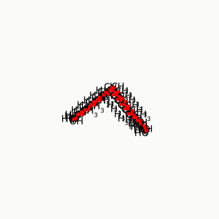 CN1CCN(C)C1Cl.CN1CCN(C)C1Cl.CN1CCN(C)C1Cl.CN1CCN(C)C1Cl.CN1CCN(C)C1Cl.CN1CCN(C)C1Cl.CN1CCN(C)C1Cl.CN1CCN(C)C1Cl.CN1CCN(C)C1Cl.CN1CCN(C)C1Cl.CN1CCN(C)C1Cl.CN1CCN(C)C1Cl.O=P(O)(O)F.O=P(O)(O)F.O=P(O)(O)F.O=P(O)(O)F.O=P(O)(O)F.O=P(O)(O)F